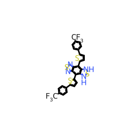 FC(F)(F)c1ccc(-c2ccc(-c3c4c(c(-c5ccc(-c6ccc(C(F)(F)F)cc6)s5)c5nsnc35)NSN4)s2)cc1